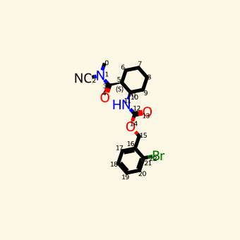 CN(C#N)C(=O)[C@H]1CCCC[C@H]1NC(=O)OCc1ccccc1Br